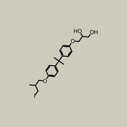 CC(CI)COc1ccc(C(C)(C)c2ccc(OCC(O)CO)cc2)cc1